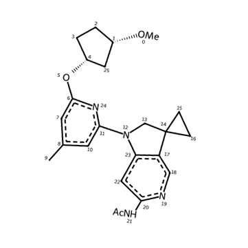 CO[C@H]1CC[C@@H](Oc2cc(C)cc(N3CC4(CC4)c4cnc(NC(C)=O)cc43)n2)C1